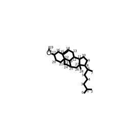 CC(C)CCCC(C)C1CCC2C3CC=C4CC(OI)CCC45CCC(CC12C)C35